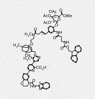 COC(=O)[C@H]1O[C@@H](Oc2ccc(/C=C/CC(=O)N(C)CCOC34CC5(C)CC(C)(CC(Cn6ncc(-c7ccc(-c8ccc9c(c8)N(C(=O)Nc8nc%10ccccc%10s8)CCO9)nc7C(=O)O)c6C)(C5)C3)C4)cc2NC(=O)CCNC(=O)OCC2c3ccccc3-c3ccccc32)[C@H](OC(C)=O)[C@@H](OC(C)=O)[C@@H]1OC(C)=O